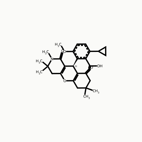 COc1ccc(C2CC2)c(C(=O)O)c1[C@H]1C2=C(CC(C)(C)CC2=O)OC2=C1C(=O)N(C)C(C)(C)C2